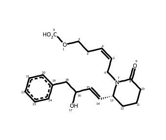 O=C(O)OCC/C=C\CN1C(=O)CCC[C@@H]1/C=C/C(O)Cc1ccccc1